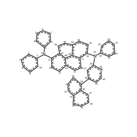 c1ccc(N(c2ccccc2)c2ccc3ccc4c(N(c5ccccc5)c5cc(-c6cccc7ccccc67)ccn5)ccc5ccc2c3c54)cc1